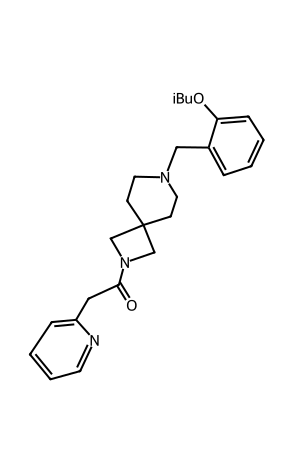 CC(C)COc1ccccc1CN1CCC2(CC1)CN(C(=O)Cc1ccccn1)C2